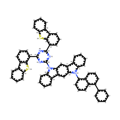 c1ccc(-c2cccc3c(-n4c5ccccc5c5cc6c(cc54)c4ccccc4n6-c4nc(-c5cccc6c5sc5ccccc56)nc(-c5cccc6c5sc5ccccc56)n4)cccc23)cc1